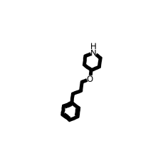 c1ccc(CCCOC2CCNCC2)cc1